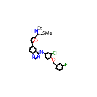 CCN[C@H](CSC)c1ccc(-c2ccc3ncnc(Nc4ccc(OCc5cccc(F)c5)c(Cl)c4)c3c2)o1